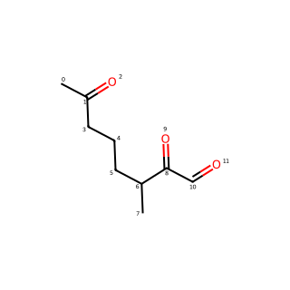 CC(=O)CCCC(C)C(=O)C=O